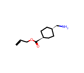 C=CCOC(=O)[C@H]1CC[C@H](CN)CC1